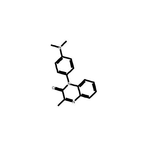 Cc1nc2ccccc2n(-c2ccc(N(C)C)cc2)c1=O